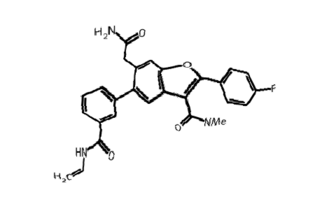 C=CNC(=O)c1cccc(-c2cc3c(C(=O)NC)c(-c4ccc(F)cc4)oc3cc2CC(N)=O)c1